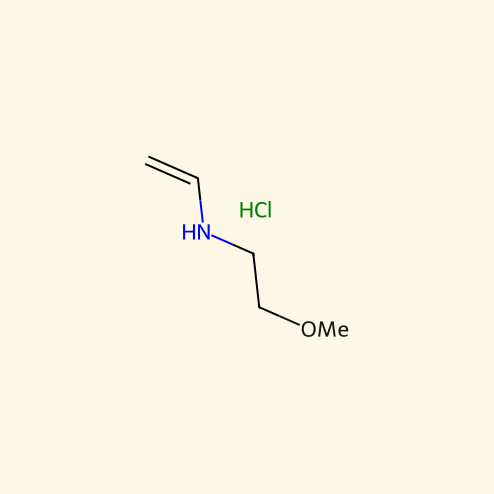 C=CNCCOC.Cl